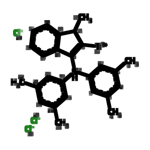 Cc1cc(C)cc([SiH](C2=[C]([Ti+3])C(C)c3ccccc32)c2cc(C)cc(C)c2)c1.[Cl-].[Cl-].[Cl-]